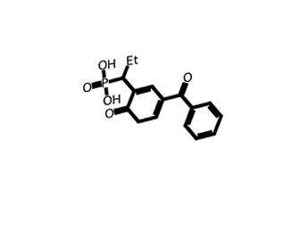 CCC(C1=CC(C(=O)c2ccccc2)=CCC1=O)P(=O)(O)O